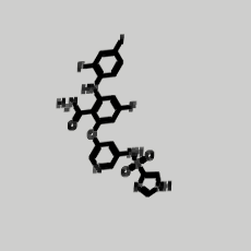 NC(=O)c1c(Nc2ccc(I)cc2F)cc(F)cc1Oc1cncc(NS(=O)(=O)c2c[nH]cn2)c1